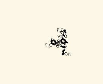 C=C(O)CC[C@H]1CN(S(=O)(=O)c2cncc(C(F)(F)F)c2)c2cc(NC(=O)OC(C)(C)C(F)(F)F)cc(C)c2O1